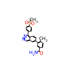 Cc1ccc(C(N)=O)cc1-c1ccc2c(-c3ccc(S(C)(=O)=O)cc3)nncc2c1